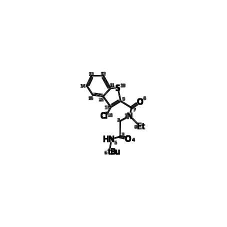 CCN(CC(=O)NC(C)(C)C)C(=O)c1sc2ccccc2c1Cl